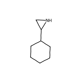 C1CCC(C2CN2)CC1